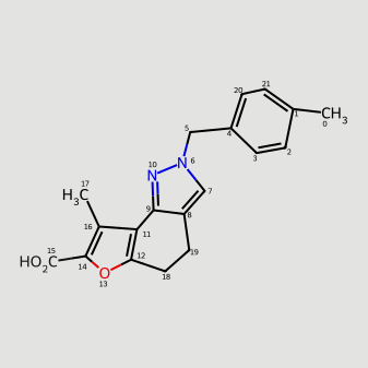 Cc1ccc(Cn2cc3c(n2)-c2c(oc(C(=O)O)c2C)CC3)cc1